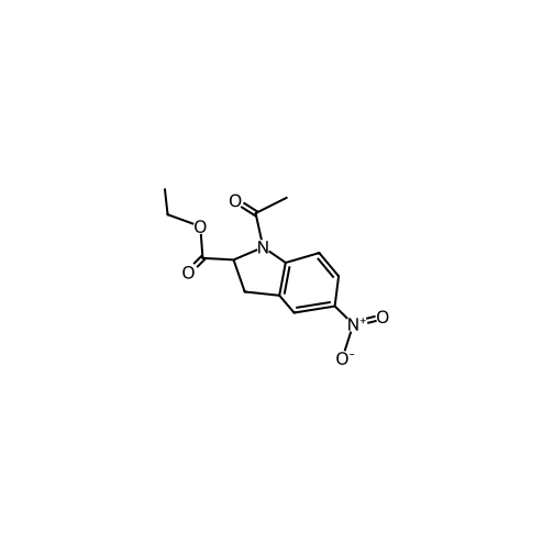 CCOC(=O)C1Cc2cc([N+](=O)[O-])ccc2N1C(C)=O